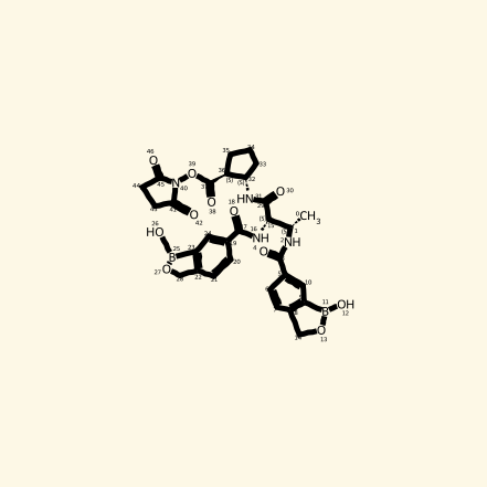 C[C@H](NC(=O)c1ccc2c(c1)B(O)OC2)[C@H](NC(=O)c1ccc2c(c1)B(O)OC2)C(=O)N[C@H]1CCC[C@@H]1C(=O)ON1C(=O)CCC1=O